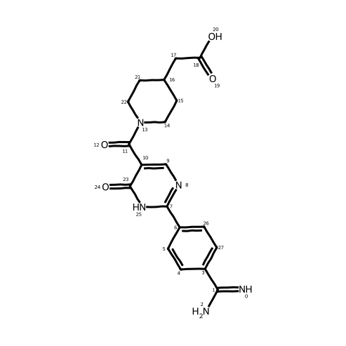 N=C(N)c1ccc(-c2ncc(C(=O)N3CCC(CC(=O)O)CC3)c(=O)[nH]2)cc1